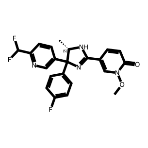 COn1cc(C2=NC(c3ccc(F)cc3)(c3ccc(C(F)F)nc3)[C@H](C)N2)ccc1=O